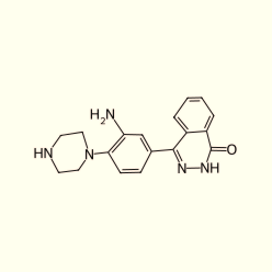 Nc1cc(-c2n[nH]c(=O)c3ccccc23)ccc1N1CCNCC1